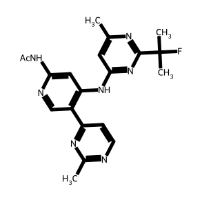 CC(=O)Nc1cc(Nc2cc(C)nc(C(C)(C)F)n2)c(-c2ccnc(C)n2)cn1